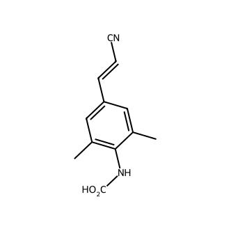 Cc1cc(/C=C/C#N)cc(C)c1NC(=O)O